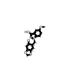 COc1ccc2c(c1)c(O)nn2Cc1cc2c(cc1Cl)OCO2